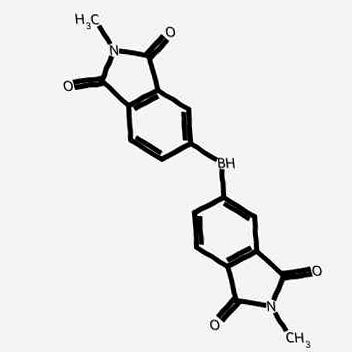 CN1C(=O)c2ccc(Bc3ccc4c(c3)C(=O)N(C)C4=O)cc2C1=O